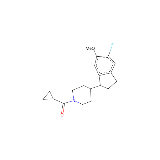 COc1cc2c(cc1F)CCC2C1CCN(C(=O)C2CC2)CC1